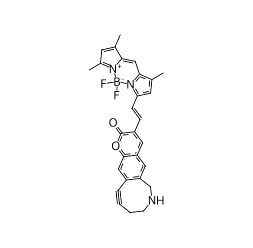 CC1=CC(C)=[N+]2C1=Cc1c(C)cc(/C=C/c3cc4cc5c(cc4oc3=O)C#CCCNC5)n1[B-]2(F)F